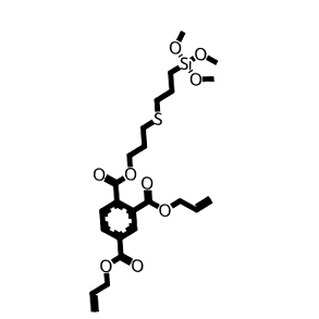 C=CCOC(=O)c1ccc(C(=O)OCCCSCCC[Si](OC)(OC)OC)c(C(=O)OCC=C)c1